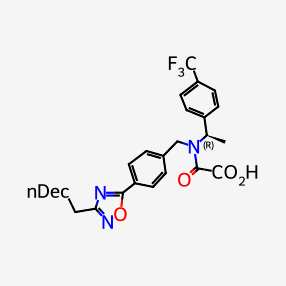 CCCCCCCCCCCc1noc(-c2ccc(CN(C(=O)C(=O)O)[C@H](C)c3ccc(C(F)(F)F)cc3)cc2)n1